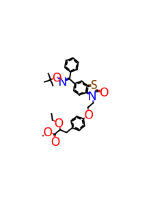 CCOC(Cc1ccc(OCCn2c(=O)sc3cc(C(=NOC(C)(C)C)c4ccccc4)ccc32)cc1)C(=O)OC